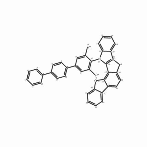 CC(C)c1cc(-c2ccc(-c3ccccc3)cc2)cc(C(C)C)c1-n1c2[n+](c3ccccc31)Cc1ccc3c(oc4ccccc43)c1-2